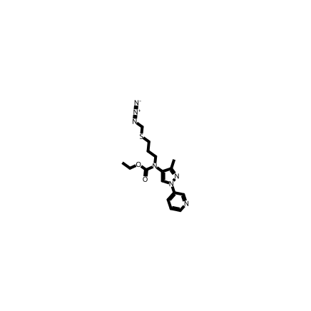 CCOC(=O)N(CCCSCN=[N+]=[N-])c1cn(-c2cccnc2)nc1C